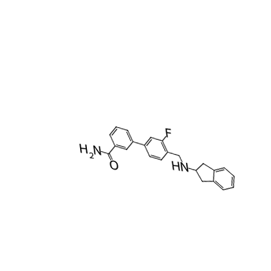 NC(=O)c1cccc(-c2ccc(CNC3Cc4ccccc4C3)c(F)c2)c1